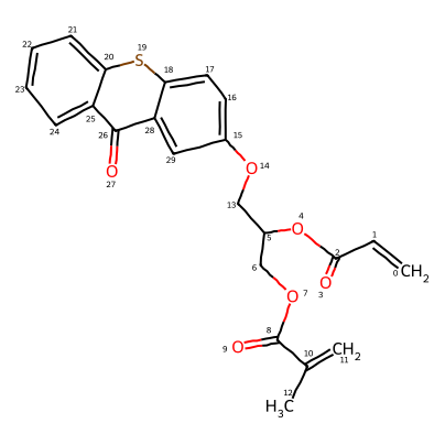 C=CC(=O)OC(COC(=O)C(=C)C)COc1ccc2sc3ccccc3c(=O)c2c1